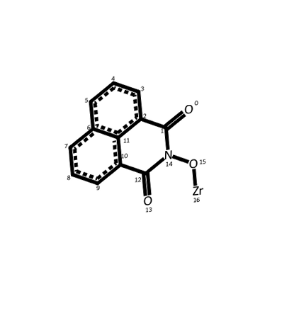 O=C1c2cccc3cccc(c23)C(=O)N1[O][Zr]